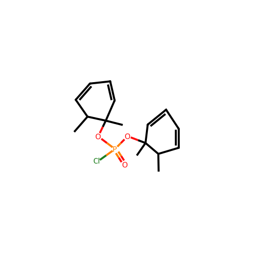 CC1C=CC=CC1(C)OP(=O)(Cl)OC1(C)C=CC=CC1C